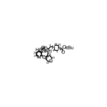 CC(C)(C)OC(=O)N1CCN(CCOS2(=O)(O)NCC3(CCOCC3)Oc3ncccc32)CC1